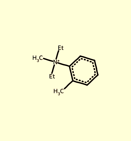 CC[N+](C)(CC)c1ccccc1C